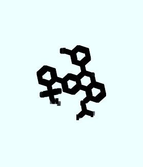 NS(=O)(=O)c1ccccc1-c1ccc2c(c1)C(c1cccc(Cl)c1)Oc1cccc(OC(F)F)c1-2